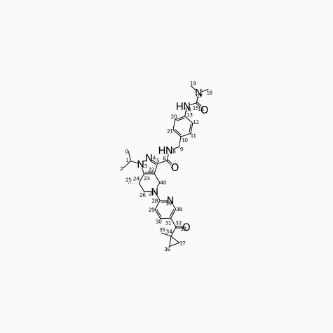 CC(C)n1nc(C(=O)NCc2ccc(NC(=O)N(C)C)cc2)c2c1[C@@H](C)CN(c1ccc(C(=O)C3(C)CC3)cn1)C2